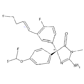 CN1C(=O)[C@@](c2ccc(OC(F)F)cc2)(c2ccc(F)c(/C=C/CCF)c2)N=C1N